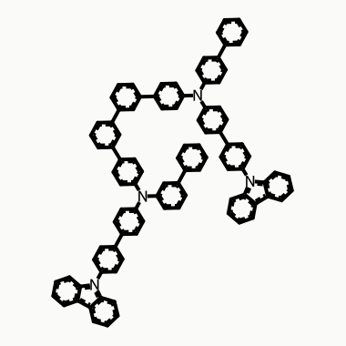 c1ccc(-c2ccc(N(c3ccc(-c4ccc(-n5c6ccccc6c6ccccc65)cc4)cc3)c3ccc(-c4cccc(-c5cccc(-c6ccc(N(c7ccc(-c8ccc(-n9c%10ccccc%10c%10ccccc%109)cc8)cc7)c7cccc(-c8ccccc8)c7)cc6)c5)c4)cc3)cc2)cc1